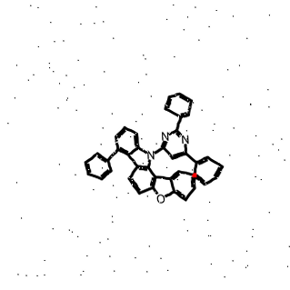 c1ccc(-c2cc(-n3c4cccc(-c5ccccc5)c4c4ccc5oc6ccccc6c5c43)nc(-c3ccccc3)n2)cc1